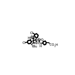 COc1cc(CC(=O)O)ccc1NC(=O)[C@@H]1N[C@@H](CC(C)(C)C)[C@@]2(C(=O)Nc3cc(Cl)ccc32)[C@H]1c1cccc(Cl)c1F